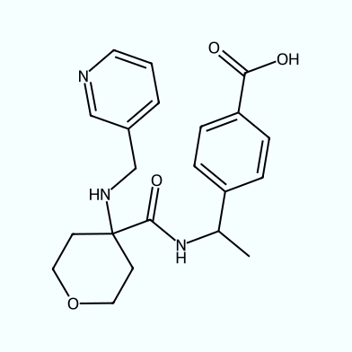 CC(NC(=O)C1(NCc2cccnc2)CCOCC1)c1ccc(C(=O)O)cc1